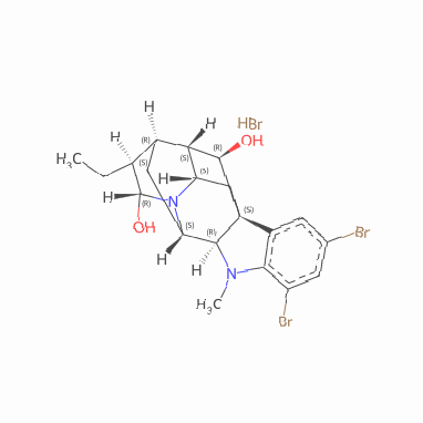 Br.CC[C@H]1[C@@H]2C[C@H]3[C@@H]4N(C)c5c(Br)cc(Br)cc5[C@@]45C[C@@H]([C@H]2[C@H]5O)N3[C@@H]1O